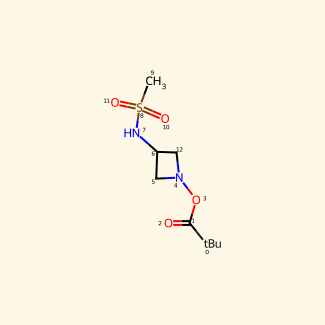 CC(C)(C)C(=O)ON1CC(NS(C)(=O)=O)C1